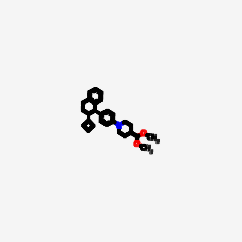 COC(OC)C1CCN(c2ccc([C@@H]3c4ccccc4CC[C@@H]3C3CCC3)cc2)CC1